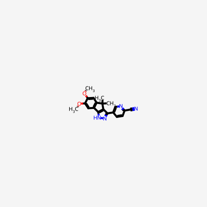 COc1cc2c(cc1OC)C(C)(C)c1c(-c3ccc(C#N)nc3)n[nH]c1-2